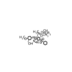 COc1ccc(Nc2ncnc3c2c(CN(C)C(=O)OC(C)(C)C)cn3S(=O)(=O)c2ccccc2)cc1CO